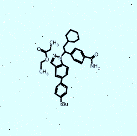 CC(C)(C)c1ccc(-c2ccc3c(cnn3C(CC3CCCCC3)c3ccc(C(N)=O)cc3)c2)cc1.CCOC(=O)CC